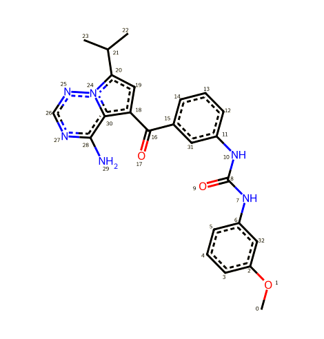 COc1cccc(NC(=O)Nc2cccc(C(=O)c3cc(C(C)C)n4ncnc(N)c34)c2)c1